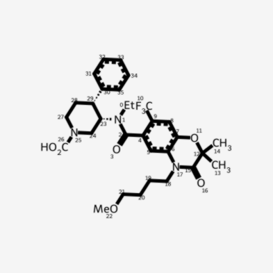 CCN(C(=O)c1cc2c(cc1C(F)(F)F)OC(C)(C)C(=O)N2CCCCOC)[C@@H]1CN(C(=O)O)CC[C@@H]1c1ccccc1